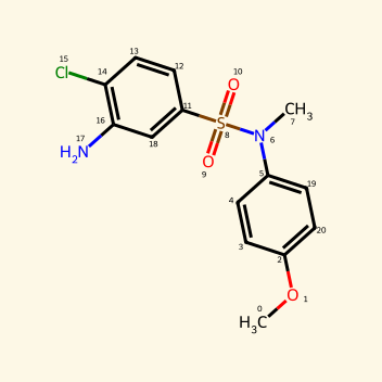 COc1ccc(N(C)S(=O)(=O)c2ccc(Cl)c(N)c2)cc1